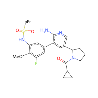 CCCS(=O)(=O)Nc1cc(-c2cc(C3CCCN3C(=O)C3CC3)cnc2N)cc(F)c1OC